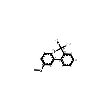 CSc1cccc(-c2cc[c]cc2C(F)(F)F)c1